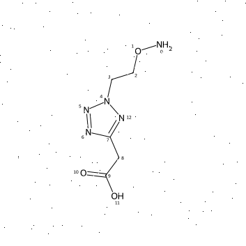 NOCCn1nnc(CC(=O)O)n1